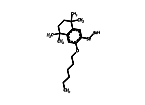 CCCCCCOc1cc2c(cc1[Se][SeH])C(C)(C)CCC2(C)C